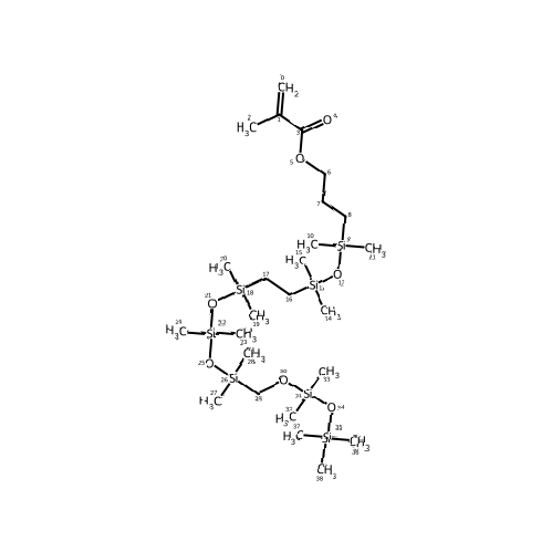 C=C(C)C(=O)OCCC[Si](C)(C)O[Si](C)(C)CC[Si](C)(C)O[Si](C)(C)O[Si](C)(C)CO[Si](C)(C)O[Si](C)(C)C